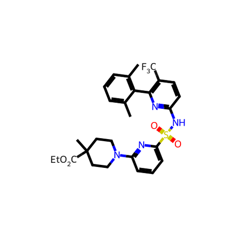 CCOC(=O)C1(C)CCN(c2cccc(S(=O)(=O)Nc3ccc(C(F)(F)F)c(-c4c(C)cccc4C)n3)n2)CC1